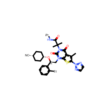 CCc1ccccc1[C@H](Cn1c(=O)n(C(C)(C)C(=O)NC(C)C)c(=O)c2c(C)c(-n3nccn3)sc21)O[C@H]1CC[C@@H](C#N)CC1